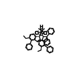 CCc1ccc2c(c1-c1ccccc1)C=C(c1ccccc1)[CH]2[Zr]([Cl])([Cl])([CH]1C(c2ccccc2)=Cc2c1ccc(CC)c2-c1ccccc1)[SiH](C)C